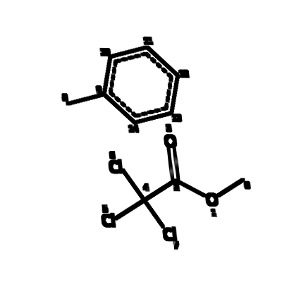 COC(=O)C(Cl)(Cl)Cl.Cc1ccccc1